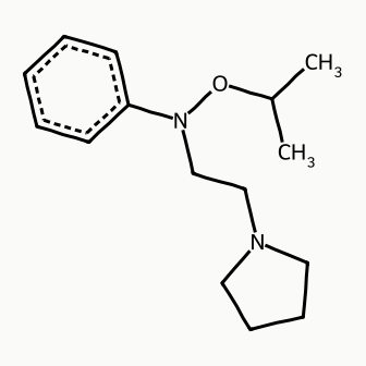 CC(C)ON(CCN1CCCC1)c1ccccc1